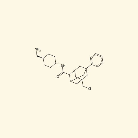 NC[C@H]1CC[C@H](NC(=O)C2C3CC4(CCl)CC2CC(c2ccccc2)(C3)C4)CC1